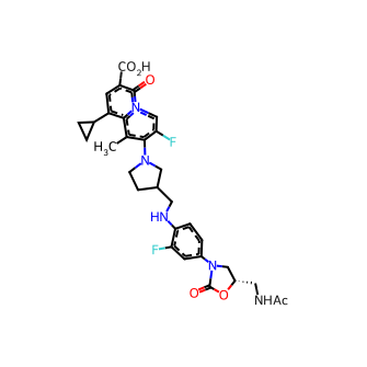 CC(=O)NC[C@H]1CN(c2ccc(NCC3CCN(c4c(F)cn5c(=O)c(C(=O)O)cc(C6CC6)c5c4C)C3)c(F)c2)C(=O)O1